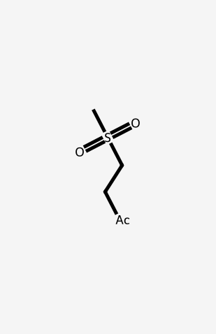 CC(=O)CCS(C)(=O)=O